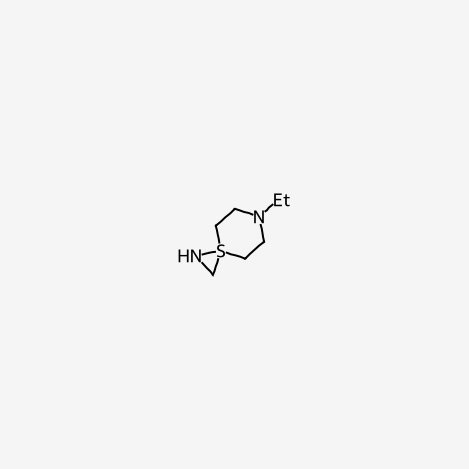 CCN1CCS2(CC1)CN2